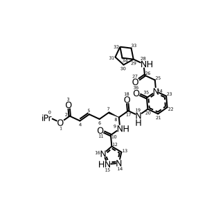 CC(C)OC(=O)/C=C/CC[C@H](NC(=O)c1cn[nH]n1)C(=O)Nc1cccn(CC(=O)NC23CCC(C2)C3)c1=O